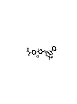 CNC(=O)c1ccc(-c2ccc(NC(=O)c3nc(-c4ccccc4)oc3C(F)(F)F)cn2)c(Cl)c1